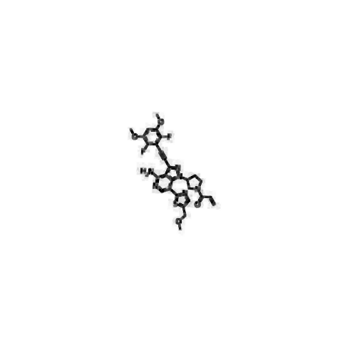 C=CC(=O)N1CCC(n2nc(C#Cc3c(F)c(OC)cc(OC)c3F)c3c(N)ncc(-c4ncc(COC)s4)c32)C1